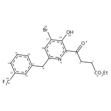 CCOC(=O)CCC(=O)c1nc(Cc2cccc(C(F)(F)F)c2)cc(Br)c1O